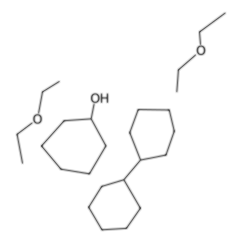 C1CCC(C2CCCCC2)CC1.CCOCC.CCOCC.OC1CCCCC1